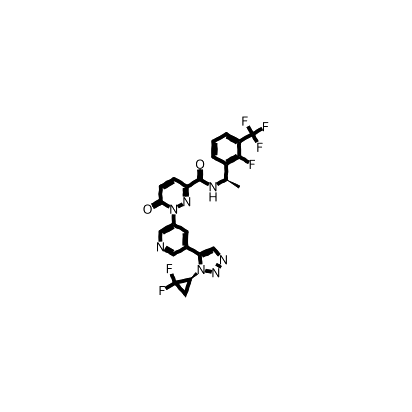 C[C@@H](NC(=O)c1ccc(=O)n(-c2cncc(-c3cnnn3[C@H]3CC3(F)F)c2)n1)c1cccc(C(F)(F)F)c1F